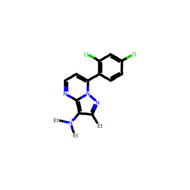 CCc1nn2c(-c3ccc(Cl)cc3Cl)ccnc2c1N(CC)CC